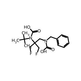 CC(C)(C)N(C(=O)O)C(CF)(CF)CN(Cc1ccccc1)C(=O)O